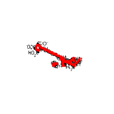 CCC(=O)NCCNC(=O)/N=C(/N)NCCCC(NC(=O)[C@H](c1ccccc1)c1ccc(NC(=O)CCOCCOCCOCCOCCNC(=O)CN2CCN(CC(=O)[O-])CCN(CC(=O)[O-])CCN(CC(=O)O)CC2)cc1)C(=O)NCc1ccc(O)cc1.O=C([O-])C(F)(F)F.[In+3]